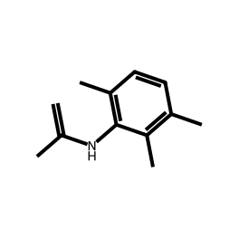 C=C(C)Nc1c(C)ccc(C)c1C